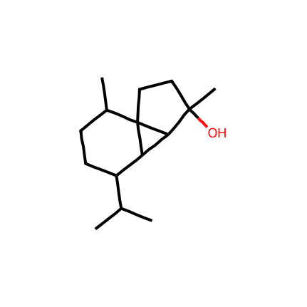 CC(C)C1CCC(C)C23CCC(C)(O)C2C13